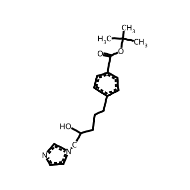 CC(C)(C)OC(=O)c1ccc(CCCC(O)Cn2ccnc2)cc1